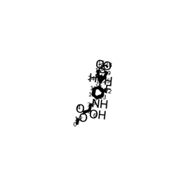 CCOC(=O)[C@H](O)CNc1ccc([C@H]2[C@@H]3CS(=O)(=O)C[C@@H]32)c(F)c1